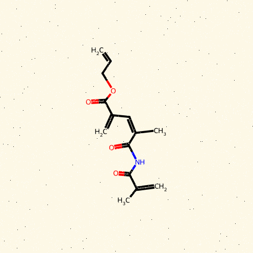 C=CCOC(=O)C(=C)C=C(C)C(=O)NC(=O)C(=C)C